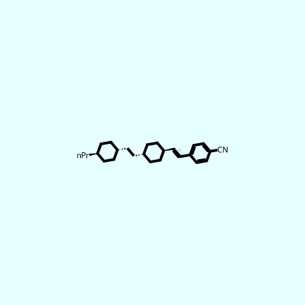 CCC[C@H]1CC[C@H](CC[C@H]2CC[C@H](/C=C/c3ccc(C#N)cc3)CC2)CC1